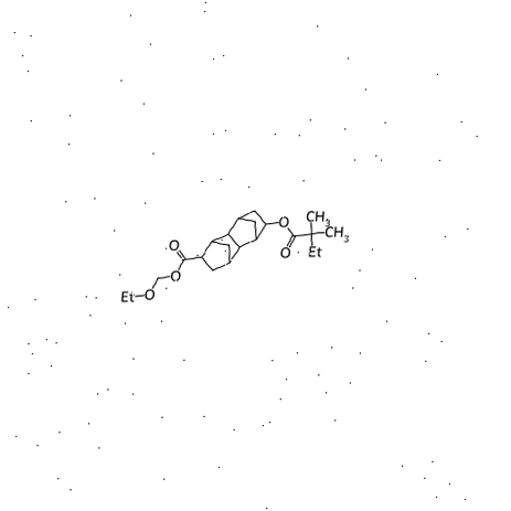 CCOCOC(=O)C1CC2CC1C1C3CC(OC(=O)C(C)(C)CC)C(C3)C21